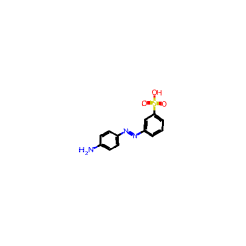 Nc1ccc(N=Nc2cccc(S(=O)(=O)O)c2)cc1